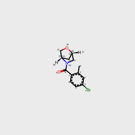 Cc1cc(Br)ccc1C(=O)N1C[C@@H]2C[C@H]1CO2